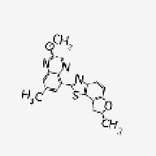 COc1cnc2c(-c3nc4ccc5c(c4s3)CC(C)O5)cc(C)cc2n1